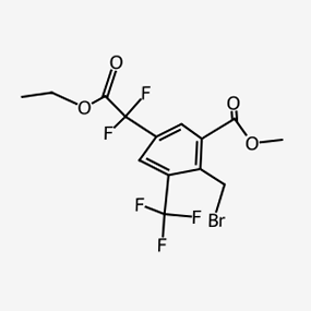 CCOC(=O)C(F)(F)c1cc(C(=O)OC)c(CBr)c(C(F)(F)F)c1